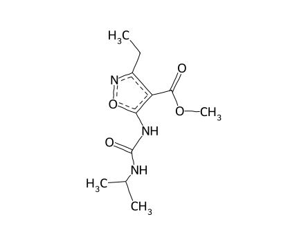 CCc1noc(NC(=O)NC(C)C)c1C(=O)OC